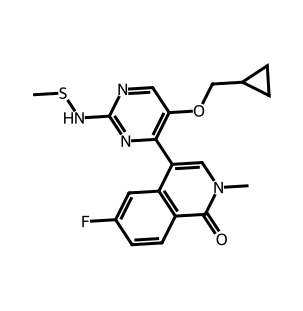 CSNc1ncc(OCC2CC2)c(-c2cn(C)c(=O)c3ccc(F)cc23)n1